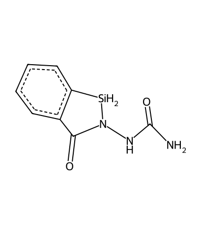 NC(=O)NN1[SiH2]c2ccccc2C1=O